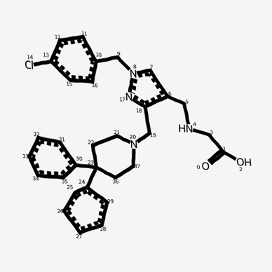 O=C(O)CNCc1cn(Cc2ccc(Cl)cc2)nc1CN1CCC(c2ccccc2)(c2ccccc2)CC1